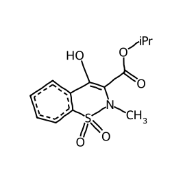 CC(C)OC(=O)C1=C(O)c2ccccc2S(=O)(=O)N1C